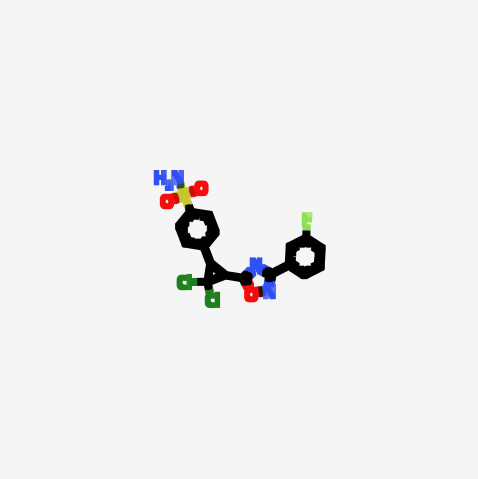 NS(=O)(=O)c1ccc(C2C(c3nc(-c4cccc(F)c4)no3)C2(Cl)Cl)cc1